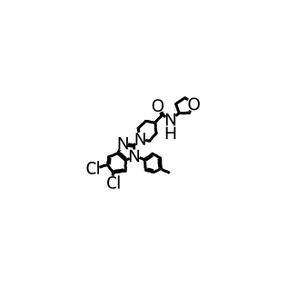 Cc1ccc(-n2c(N3CCC(C(=O)NC4CCOC4)CC3)nc3cc(Cl)c(Cl)cc32)cc1